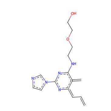 C=C/C=c1/nc(-n2ccnc2)nc(NCCOCCO)c1=C